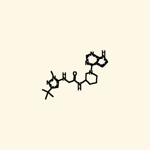 Cn1nc(C(C)(C)C)cc1NCC(=O)NC1CCCN(c2ncnc3[nH]ccc23)C1